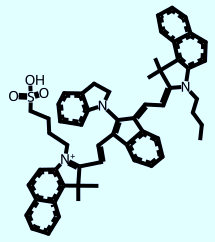 CCCCN1/C(=C/C=C2C(N3CCc4ccccc43)=C(/C=C/C3=[N+](CCCCS(=O)(=O)O)c4ccc5ccccc5c4C3(C)C)c3ccccc3/2)C(C)(C)c2c1ccc1ccccc21